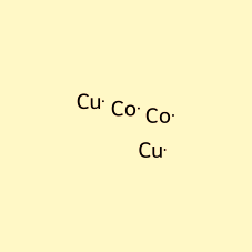 [Co].[Co].[Cu].[Cu]